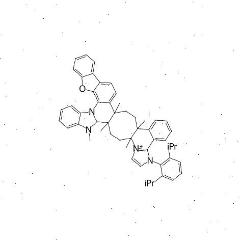 CC(C)c1cccc(C(C)C)c1-n1cc[n+]2c1-c1ccccc1C1(C)CCC3(C)c4ccc5c(oc6ccccc65)c4N4c5ccccc5N(C)C4C3(C)CCC21C